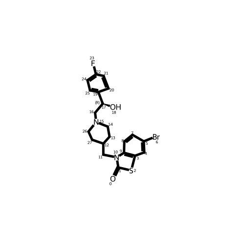 O=c1sc2cc(Br)ccc2n1CC1CCN(C[C@H](O)c2ccc(F)cc2)CC1